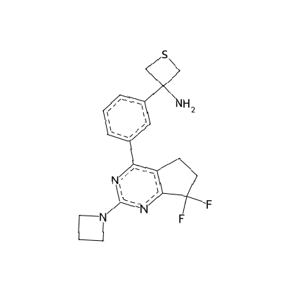 NC1(c2cccc(-c3nc(N4CCC4)nc4c3CCC4(F)F)c2)CSC1